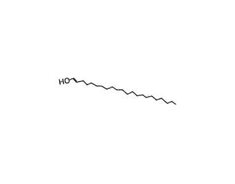 CCCCCCCCCCCCCCCCCCCC/C=C/O